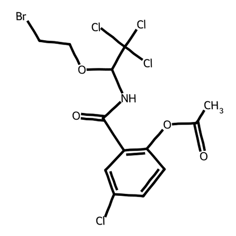 CC(=O)Oc1ccc(Cl)cc1C(=O)NC(OCCBr)C(Cl)(Cl)Cl